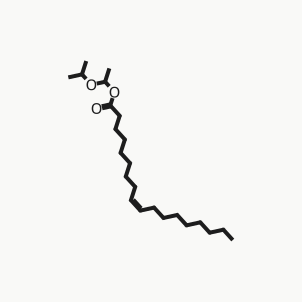 CCCCCCCC/C=C\CCCCCCCC(=O)OC(C)OC(C)C